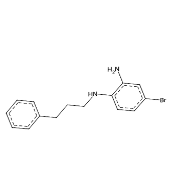 Nc1cc(Br)ccc1NCCCc1ccccc1